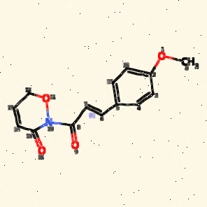 COc1ccc(/C=C/C(=O)N2OCC=CC2=O)cc1